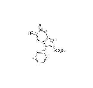 CCOC(=O)c1[nH]c2cc(Br)c(Cl)cc2c1-c1ccccc1